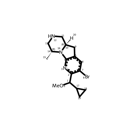 COC(c1nc2c(cc1Br)C[C@@H]1CNC[C@@H](C)N21)C1CC1